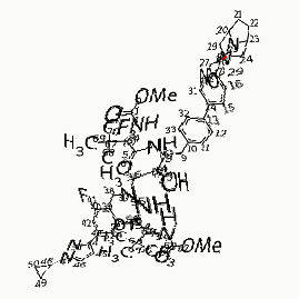 COC(=O)N[C@H](C(=O)N[C@@H](Cc1ccc(-c2ccc(N3CC4CCC(C3)N4C3COC3)nc2)cc1)[C@@H](O)CN(Cc1c(F)cc(-c2ccn(C3CC3)n2)cc1F)NC(=O)[C@@H](NC(=O)OC)C(C)(C)C(F)(F)F)C(C)(C)C(F)(F)F